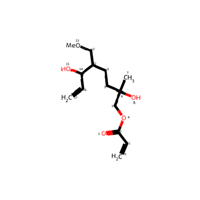 C=CC(=O)OCC(C)(O)CCC(COC)C(O)C=C